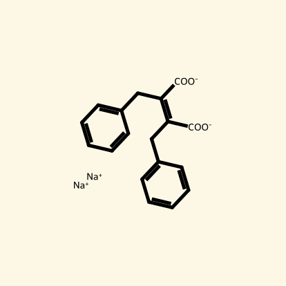 O=C([O-])C(Cc1ccccc1)=C(Cc1ccccc1)C(=O)[O-].[Na+].[Na+]